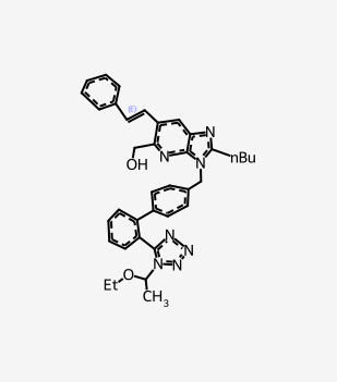 CCCCc1nc2cc(/C=C/c3ccccc3)c(CO)nc2n1Cc1ccc(-c2ccccc2-c2nnnn2C(C)OCC)cc1